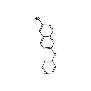 Oc1ccc2cc(Oc3cc[c]cc3)ccc2c1